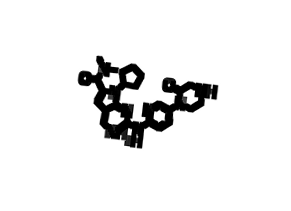 C=C(/N=C1\C(=C/N)C=C(C(=O)N(C)C)N1C1CCCC1)Nc1ccc(N2CCNCC2=O)cn1